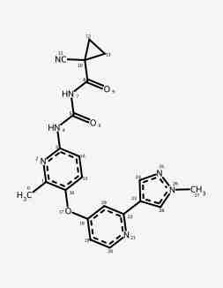 Cc1nc(NC(=O)NC(=O)C2(C#N)CC2)ccc1Oc1ccnc(-c2cnn(C)c2)c1